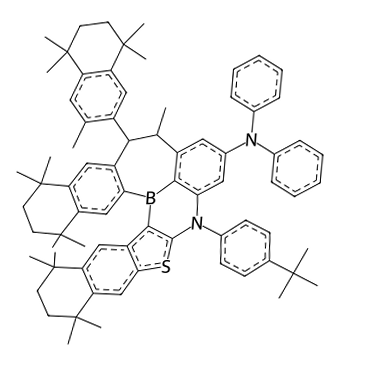 Cc1cc2c(cc1C1c3cc4c(cc3B3c5c(cc(N(c6ccccc6)c6ccccc6)cc5N(c5ccc(C(C)(C)C)cc5)c5sc6cc7c(cc6c53)C(C)(C)CCC7(C)C)C1C)C(C)(C)CCC4(C)C)C(C)(C)CCC2(C)C